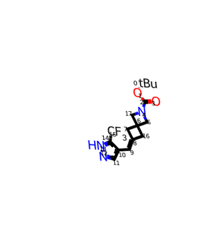 CC(C)(C)OC(=O)N1CC2(CC(=Cc3cn[nH]c3C(F)(F)F)C2)C1